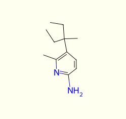 CCC(C)(CC)c1ccc(N)nc1C